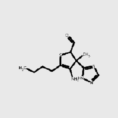 CCCCC1=C(N)C(C)(c2ncn[nH]2)C(C=O)S1